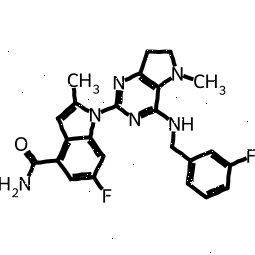 Cc1cc2c(C(N)=O)cc(F)cc2n1-c1nc2c(c(NCc3cccc(F)c3)n1)N(C)CC2